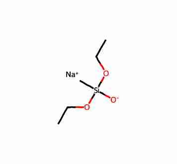 CCO[Si](C)([O-])OCC.[Na+]